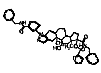 C[C@]12Cc3cnn(-c4cccc(C(=O)NCc5ccccc5)c4)c3C=C1CCC1C2C(O)C[C@@]2(C)C1CC[C@]2(OC(=O)c1ccco1)C(=O)NCc1ccccc1